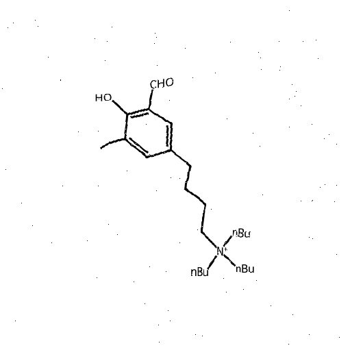 CCCC[N+](CCCC)(CCCC)CCCCc1cc(C)c(O)c(C=O)c1